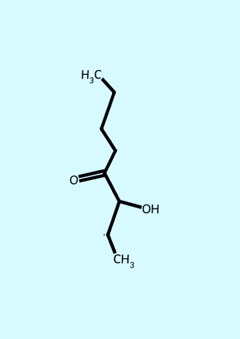 C[CH]C(O)C(=O)CCCC